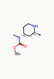 C[C@H]1C[C@H](N(C)C(=O)OC(C)(C)C)CCN1